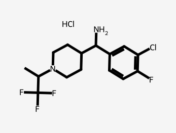 CC(N1CCC(C(N)c2ccc(F)c(Cl)c2)CC1)C(F)(F)F.Cl